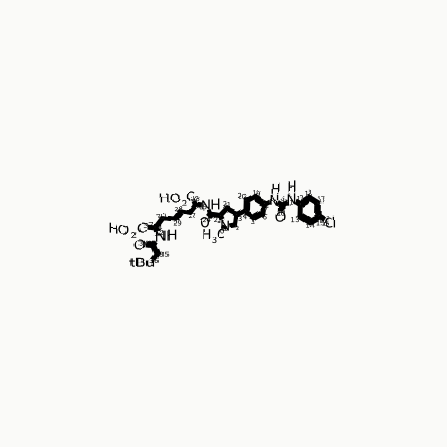 CN1CC(c2ccc(NC(=O)Nc3ccc(Cl)cc3)cc2)CC1C(=O)NC(CC=CCC(NC(=O)CC(C)(C)C)C(=O)O)C(=O)O